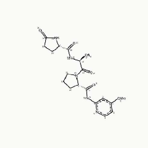 COc1ccnc(NC(=O)[C@@H]2CCCN2C(=O)[C@H](C)NC(=O)[C@@H]2CCC(=O)N2)c1